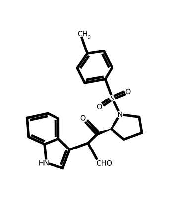 Cc1ccc(S(=O)(=O)N2CCC[C@H]2C(=O)C([C]=O)c2c[nH]c3ccccc23)cc1